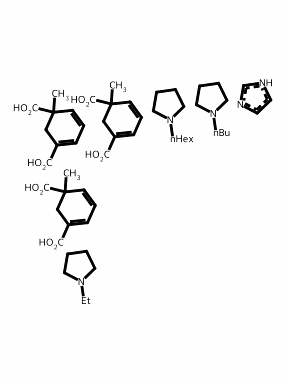 CC1(C(=O)O)C=CC=C(C(=O)O)C1.CC1(C(=O)O)C=CC=C(C(=O)O)C1.CC1(C(=O)O)C=CC=C(C(=O)O)C1.CCCCCCN1CCCC1.CCCCN1CCCC1.CCN1CCCC1.c1c[nH]cn1